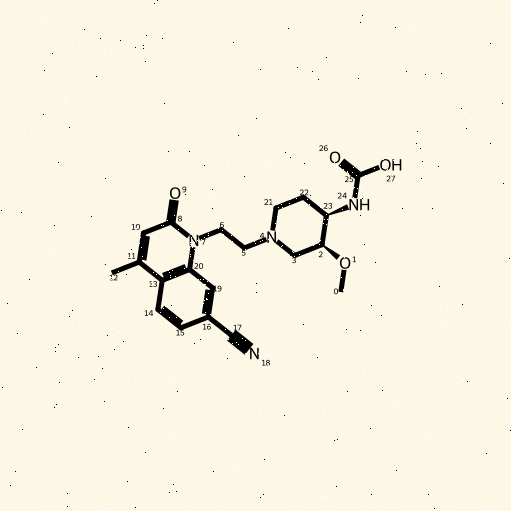 CO[C@H]1CN(CCn2c(=O)cc(C)c3ccc(C#N)cc32)CC[C@H]1NC(=O)O